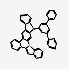 c1ccc(-c2cc(-c3ccccc3)cc(-n3c4ccccc4c4cc5c6ccccc6c6cc7ccccc7n6c5cc43)c2)cc1